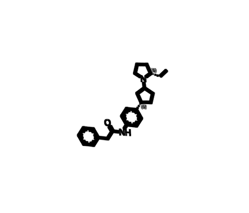 CC[C@H]1CCCN1C1CC[C@H](c2ccc(NC(=O)Cc3ccccc3)cc2)C1